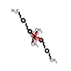 CCCCC[C@H]1CC[C@H](CCCCc2ccc(CO[C@@](CCCC)(C(=O)O)[C@@](CCCC)(OCc3ccc(CCCC[C@H]4CC[C@H](CCCCC)CC4)cc3)C(=O)O)cc2)CC1